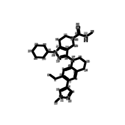 CCc1cc2c(cc1-c1cnn(C)c1)CCCN2c1nn(C2CCCCC2)c2c1CN(C(=O)NC)CC2